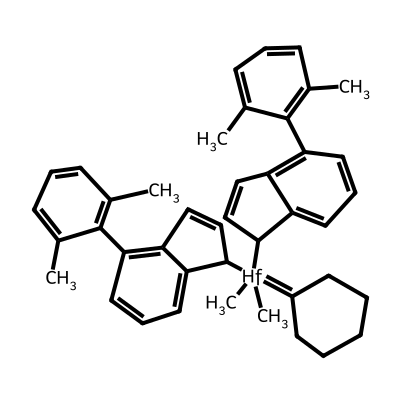 Cc1cccc(C)c1-c1cccc2c1C=C[CH]2[Hf]([CH3])([CH3])(=[C]1CCCCC1)[CH]1C=Cc2c(-c3c(C)cccc3C)cccc21